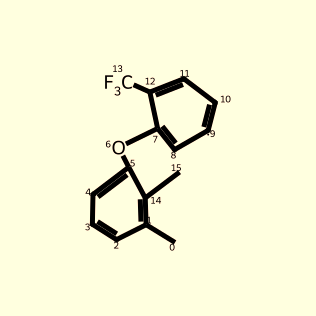 Cc1cccc(Oc2c[c]ccc2C(F)(F)F)c1C